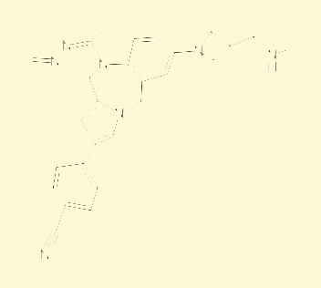 C=N/N=C(/C)N1Cc2cc(-c3ccc(C#N)cc3)cn2Cc2cc(N3CC(CNC)C3)ccc21